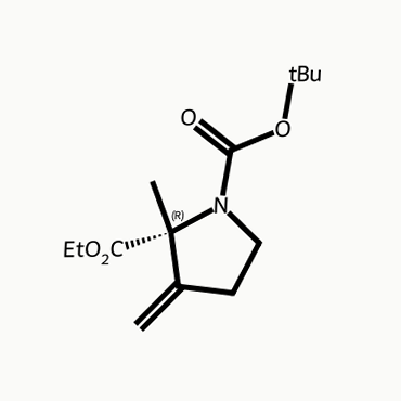 C=C1CCN(C(=O)OC(C)(C)C)[C@@]1(C)C(=O)OCC